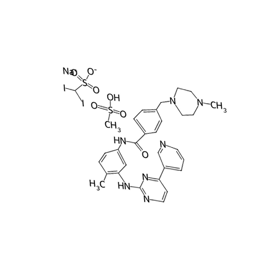 CS(=O)(=O)O.Cc1ccc(NC(=O)c2ccc(CN3CCN(C)CC3)cc2)cc1Nc1nccc(-c2cccnc2)n1.O=S(=O)([O-])C(I)I.[Na+]